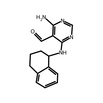 Nc1ncnc(NC2CCCc3ccccc32)c1C=O